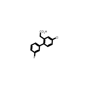 O=C(O)Cc1cc(Cl)ccc1-c1cccc(F)c1